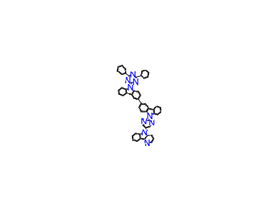 c1ccc(-c2nc(-c3ccccc3)nc(-n3c4ccccc4c4cc(-c5ccc6c(c5)c5ccccc5n6-c5ncc(-n6c7ccccc7c7ncccc76)cn5)ccc43)n2)cc1